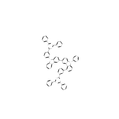 c1ccc(-c2nc(-c3ccccc3)nc(-c3cccc(-c4cccc5c4c4cc(-c6ccc7c(c6)c6ccccc6n7-c6cccc(-c7nc(-c8ccccc8)nc(-c8ccccc8)n7)c6)ccc4n5-c4ccccc4)c3)n2)cc1